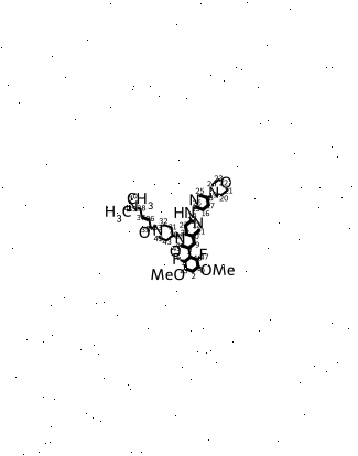 COc1cc(OC)c(F)c(-c2cc3cnc(Nc4ccc(N5CCOCC5)cn4)cc3n(C3CCN(C(=O)/C=C/CN(C)C)CC3)c2=O)c1F